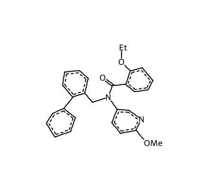 CCOc1ccccc1C(=O)N(Cc1ccccc1-c1ccccc1)c1ccc(OC)nc1